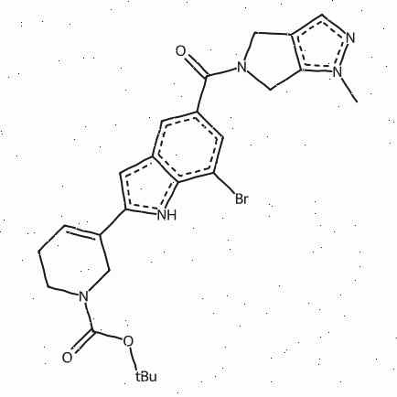 Cn1ncc2c1CN(C(=O)c1cc(Br)c3[nH]c(C4=CCCN(C(=O)OC(C)(C)C)C4)cc3c1)C2